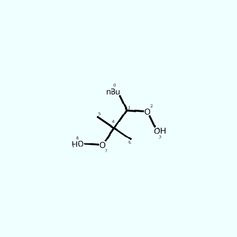 CCCCC(OO)C(C)(C)OO